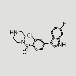 [O-][S+](c1ccc(-c2c[nH]c3cc(F)ccc23)cc1Cl)N1CCNCC1